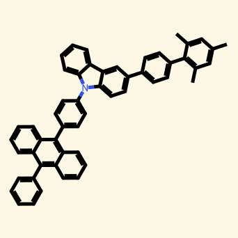 Cc1cc(C)c(-c2ccc(-c3ccc4c(c3)c3ccccc3n4-c3ccc(-c4c5ccccc5c(-c5ccccc5)c5ccccc45)cc3)cc2)c(C)c1